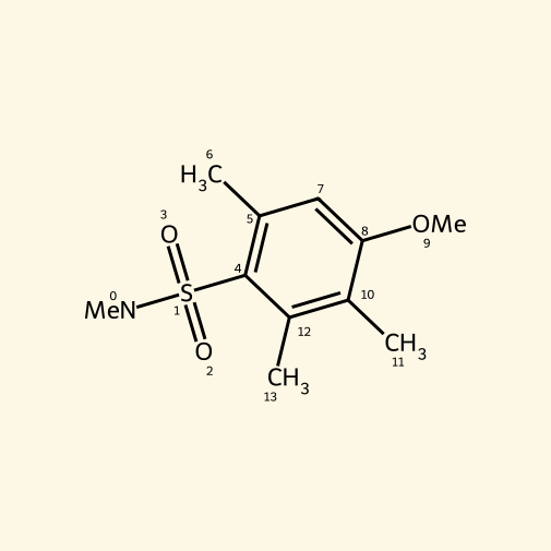 CNS(=O)(=O)c1c(C)cc(OC)c(C)c1C